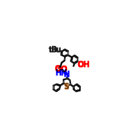 Cc1cc(-c2ccc(C(C)(C)C)cc2CCC(=O)ONN=C2CC(c3ccccc3)SC(c3ccccc3)C2)ccc1O